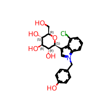 OC[C@H]1O[C@@H](c2cn(Cc3ccc(O)cc3)c3cccc(Cl)c23)[C@H](O)[C@@H](O)[C@@H]1O